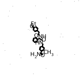 CCOc1ccc(CC(=O)NC(C(=O)NCc2ccc(C(N)=O)c(C)c2)c2ccccc2)cc1